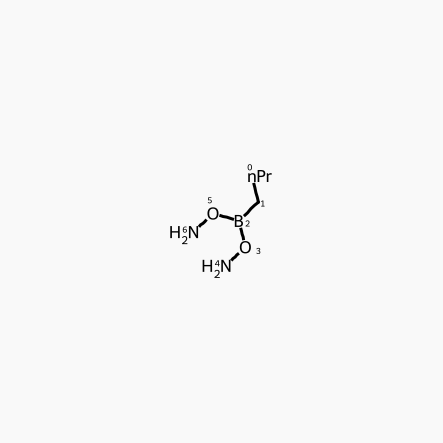 CCCCB(ON)ON